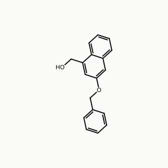 OCc1cc(OCc2ccccc2)cc2ccccc12